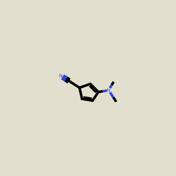 CN(C)C1=CC(C#N)C=C1